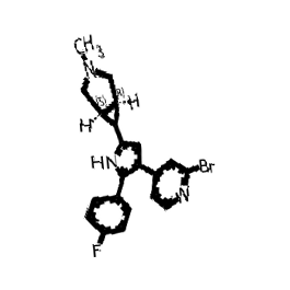 CN1C[C@@H]2C(c3cc(-c4ccnc(Br)c4)c(-c4ccc(F)cc4)[nH]3)[C@@H]2C1